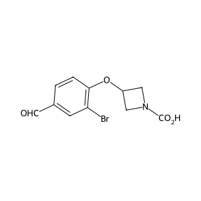 O=Cc1ccc(OC2CN(C(=O)O)C2)c(Br)c1